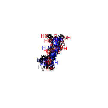 CC(=O)N[C@@H](Cc1ccc(O)cc1)C(=O)N[C@@H](Cc1ccc(O)cc1)C(=O)N[C@@H](CO)C(=O)N[C@@H](CCC(N)=O)C(=O)N[C@@H](CCC(N)=O)C(=O)N[C@@H](CO)C(=O)N[C@@H](Cc1c[nH]cn1)C(=O)N[C@@H](CO)C(=O)N[C@@H](Cc1c[nH]c2ccccc12)C(=O)N1CCC[C@H]1C(=O)N[C@@H](Cc1ccccc1)C(=O)N[C@H](C(=O)N[C@@H](Cc1ccccc1)C(N)=O)[C@@H](C)O